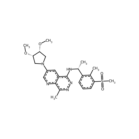 CO[C@H]1CN(c2cnc3c(C)nnc(N[C@H](C)c4cccc(S(C)(=O)=O)c4C)c3c2)C[C@H]1OC